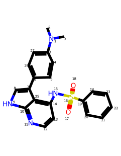 CN(C)c1ccc(-c2c[nH]c3nccc(NS(=O)(=O)c4ccccc4)c23)cc1